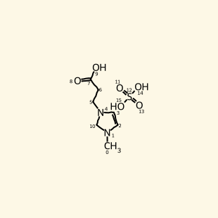 CN1C=CN(CCC(=O)O)C1.O=S(=O)(O)O